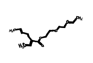 [CH2]COCCOCCOC(=O)C(CC)CCCC